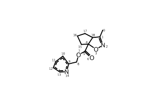 CC1=NOC2(C(=O)OCc3ccccn3)CCCC12